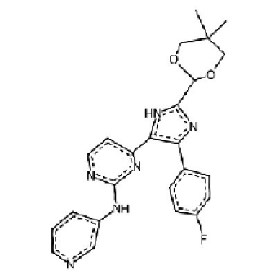 CC1(C)COC(c2nc(-c3ccc(F)cc3)c(-c3ccnc(Nc4cccnc4)n3)[nH]2)OC1